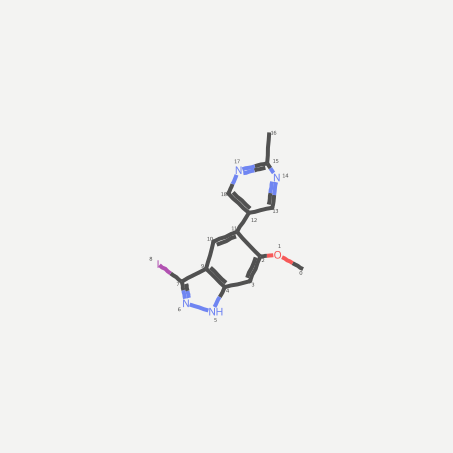 COc1cc2[nH]nc(I)c2cc1-c1cnc(C)nc1